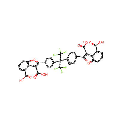 O=C(O)c1cccc2oc(-c3ccc(C(c4ccc(-c5oc6cccc(C(=O)O)c6c5C(=O)O)cc4)(C(F)(F)F)C(F)(F)F)cc3)c(C(=O)O)c12